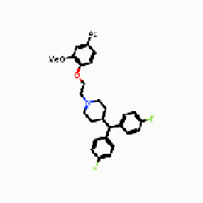 COc1cc(C(C)=O)ccc1OCCN1CCC(C(c2ccc(F)cc2)c2ccc(F)cc2)CC1